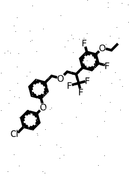 CCOc1c(F)cc(C(COCc2cccc(Oc3ccc(Cl)cc3)c2)C(F)(F)F)cc1F